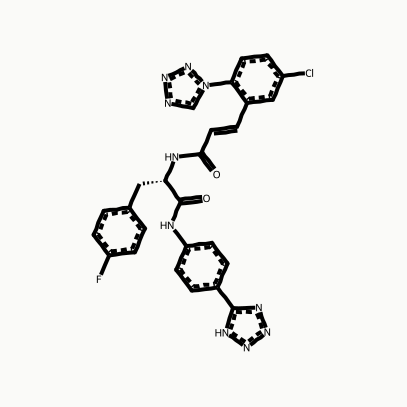 O=C(C=Cc1cc(Cl)ccc1-n1cnnn1)N[C@@H](Cc1ccc(F)cc1)C(=O)Nc1ccc(-c2nnn[nH]2)cc1